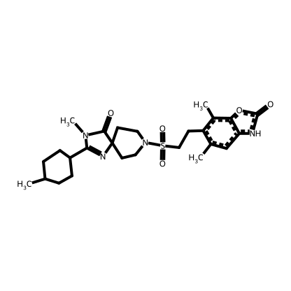 Cc1cc2[nH]c(=O)oc2c(C)c1CCS(=O)(=O)N1CCC2(CC1)N=C(C1CCC(C)CC1)N(C)C2=O